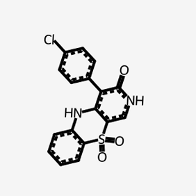 O=c1[nH]cc2c(c1-c1ccc(Cl)cc1)Nc1ccccc1S2(=O)=O